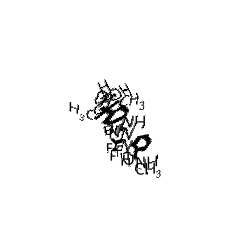 CCC(CC)(O[PH](=O)O)c1ccc(Nc2ncc(C(F)(F)F)c(Nc3ccccc3C(=O)NC)n2)c(Br)c1